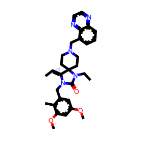 C/C=C1\N(Cc2cc(OC)cc(OC)c2C)C(=O)N(CC)C12CCN(Cc1cccc3nccnc13)CC2